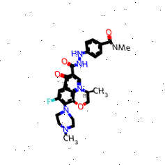 CNC(=O)c1ccc(NNC(=O)c2cn3c4c(c(N5CCN(C)CC5)c(F)cc4c2=O)OC[C@@H]3C)cc1